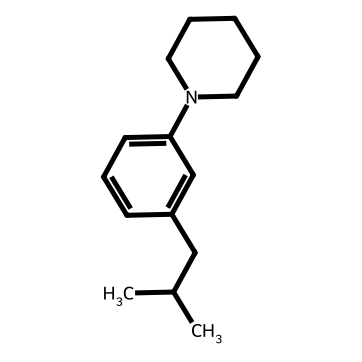 CC(C)Cc1cccc(N2CCCCC2)c1